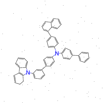 C1=Cc2c(n(-c3cccc(-c4ccc(N(c5ccc(-c6ccccc6)cc5)c5ccc(-c6cccc7ccccc67)cc5)cc4)c3)c3ccccc23)CC1